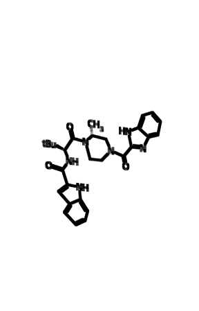 C[C@@H]1CN(C(=O)c2nc3ccccc3[nH]2)CCN1C(=O)[C@@H](NC(=O)c1cc2ccccc2[nH]1)C(C)(C)C